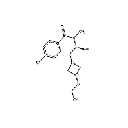 CCC[C@@H](CN1CC(OCC#N)C1)N(C)C(=O)c1ccc(Cl)cc1